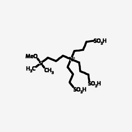 CO[Si](C)(C)CCC[N+](CCCS(=O)(=O)O)(CCCS(=O)(=O)O)CCCS(=O)(=O)O